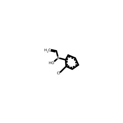 C=CB(O)c1ccccc1Cl